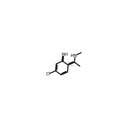 CN/C(C)=C1/C=CC(Cl)=CC1=N